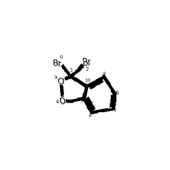 BrC1(Br)OOc2ccccc21